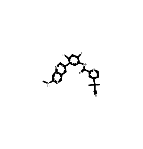 CNc1cc2ncc(-c3cc(NC(=O)c4cc(C(C)(C)C#N)ccn4)c(F)cc3Cl)cc2cn1